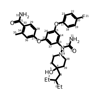 CCC(CC)CC1(O)CCN(N(C(N)=O)c2cc(Oc3ccc(F)cc3)cc(Oc3ccc(C(N)=O)c(C)c3)c2)CC1